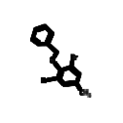 Cc1cc(Br)c(OCc2ccccc2)c(Br)c1